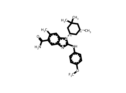 Cc1cc2c(cc1C(N)=O)nc(Nc1ccc(OC(F)(F)F)cc1)n2[C@H]1C[C@@H](C)CC(C)(C)C1